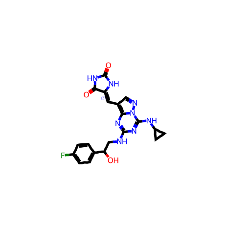 O=C1NC(=O)/C(=C/c2cnn3c(NC4CC4)nc(NCC(O)c4ccc(F)cc4)nc23)N1